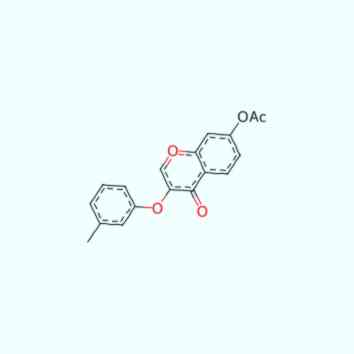 CC(=O)Oc1ccc2c(=O)c(Oc3cccc(C)c3)coc2c1